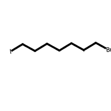 BrC[CH]CCCCCI